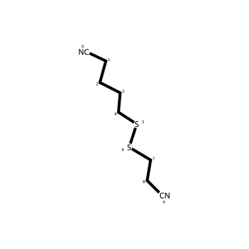 N#CCCCCSSCCC#N